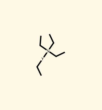 C[CH2][Y][Si](CC)(CC)CC